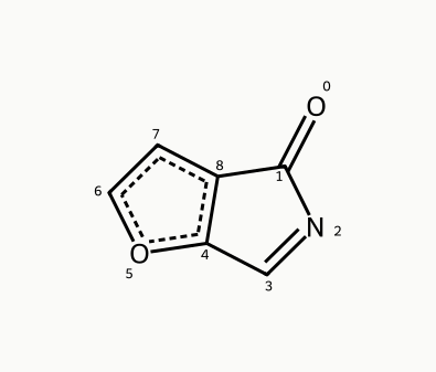 O=C1N=Cc2occc21